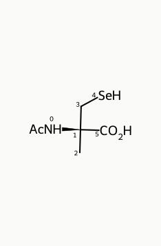 CC(=O)N[C@@](C)(C[SeH])C(=O)O